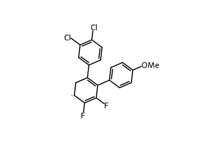 COc1ccc(C2=C(c3ccc(Cl)c(Cl)c3)C[CH]C(F)=C2F)cc1